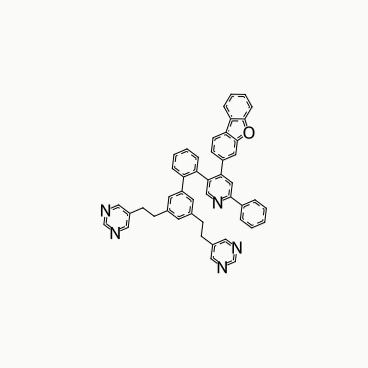 c1ccc(-c2cc(-c3ccc4c(c3)oc3ccccc34)c(-c3ccccc3-c3cc(CCc4cncnc4)cc(CCc4cncnc4)c3)cn2)cc1